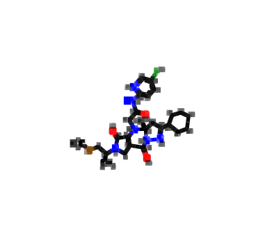 CSC[C@H](C)N1CC2=C(C1=O)N(CC(=O)Nc1ccc(F)cn1)[C@@H]1CC(C3CCCCC3)=NN1C2=O